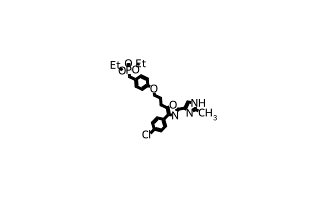 CCOP(=O)(Cc1ccc(OCCCc2oc(-c3c[nH]c(C)n3)nc2-c2ccc(Cl)cc2)cc1)OCC